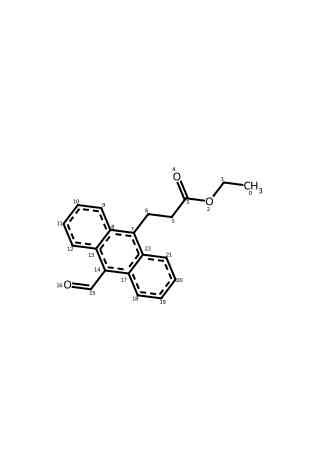 CCOC(=O)CCc1c2ccccc2c(C=O)c2ccccc12